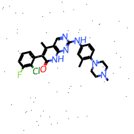 Cc1cc(Nc2ncc3c(C)c(-c4cccc(F)c4Cl)c(=O)[nH]c3n2)ccc1N1CCN(C)CC1